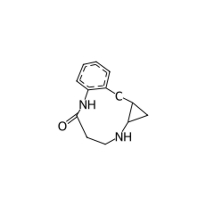 O=C1CCNC2CC2Cc2ccccc2N1